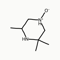 CC1C[NH+]([O-])CC(C)(C)N1